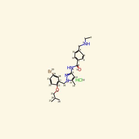 CCNCc1ccc(C(=O)Nc2cc(C)n(Cc3cc(Br)ccc3OCC(C)C)n2)cc1.Cl